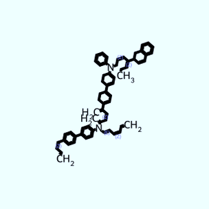 C=C/C=C\C=C\N(C(=C)/C=C\C(=C)C1=CC=C(C2=CC=C(N(C/C=C\C(=C/CC)C3C=Cc4ccccc4C3)c3ccccc3)CC2)CC1)c1ccc(-c2ccc(/C=C\C=C)cc2)cc1